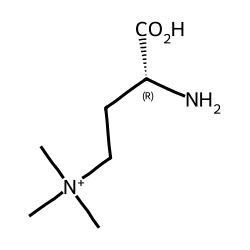 C[N+](C)(C)CC[C@@H](N)C(=O)O